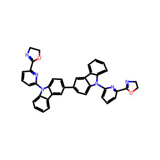 c1cc(C2=NCCO2)nc(-n2c3ccccc3c3cc(-c4ccc5c(c4)c4ccccc4n5-c4cccc(C5=NCCO5)n4)ccc32)c1